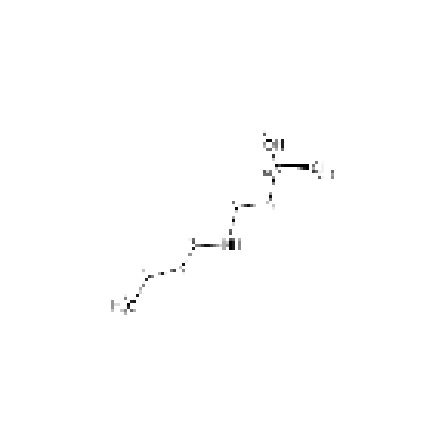 CCCCNCC[C@H](C)O